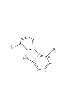 Brc1cccc2c1[nH]c1cccc(Br)c12